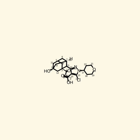 NC(=O)[C@]12CC3C[C@H](CC(O)(C3)C1)C2c1nn(C2CCOCC2)c(Cl)c1C(=O)O